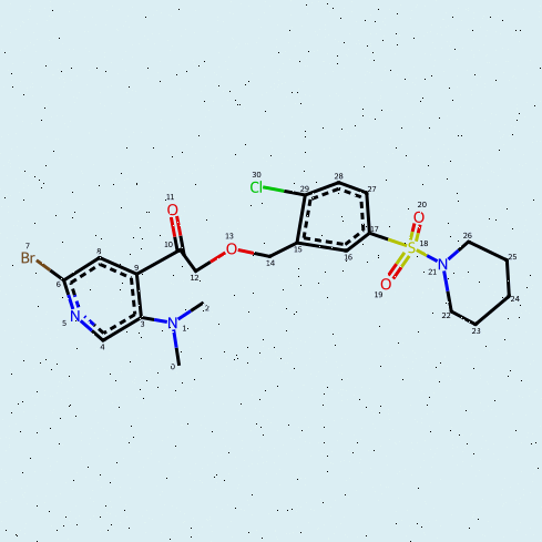 CN(C)c1cnc(Br)cc1C(=O)COCc1cc(S(=O)(=O)N2CCCCC2)ccc1Cl